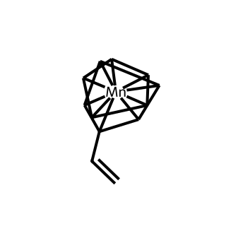 C=C[C]12[CH]3[CH]4[CH]5[CH]1[Mn]45321678[CH]2[CH]1[CH]6[CH]7[CH]28